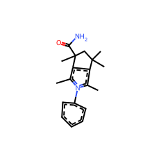 Cc1c2c(c(C)n1-c1ccccc1)C(C)(C(N)=O)CC2(C)C